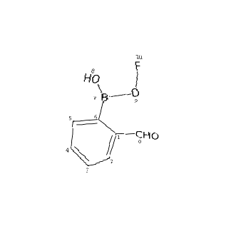 O=Cc1ccccc1B(O)OF